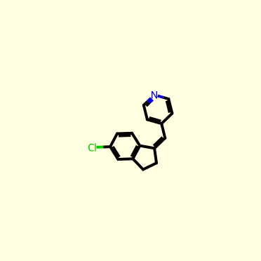 Clc1ccc2c(c1)CC/C2=C/c1ccncc1